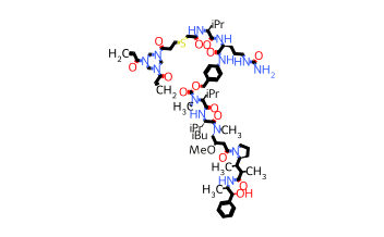 C=CC(=O)N1CN(C(=O)C=C)CN(C(=O)CCSCC(=O)N[C@H](C(=O)N[C@@H](CCCNC(N)=O)C(=O)Nc2ccc(COC(=O)N(C)[C@H](C(=O)N[C@H](C(=O)N(C)[C@@H]([C@H](C)CC)[C@@H](CC(=O)N3CCC[C@H]3[C@H](C)[C@@H](C)C(=O)N[C@H](C)[C@@H](O)c3ccccc3)OC)C(C)C)C(C)C)cc2)C(C)C)C1